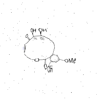 COc1cc(O)c2c(c1)CCC[C@H](O)[C@H](O)C(=O)/C=C\CCOC2=O